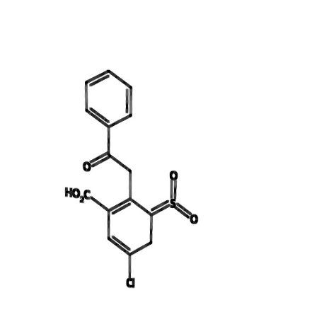 O=C(O)C1=C(CC(=O)c2ccccc2)C(=S(=O)=O)CC(Cl)=C1